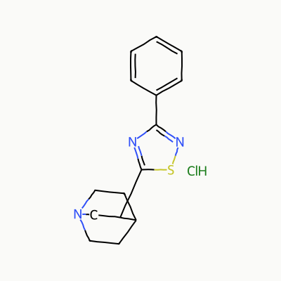 Cl.c1ccc(-c2nsc(C3CN4CCC3CC4)n2)cc1